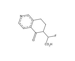 O=C(O)C(F)C1CCc2cnccc2C1=O